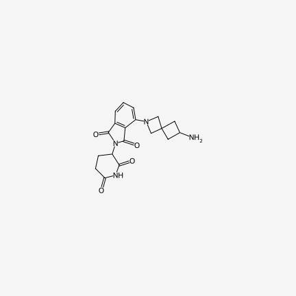 NC1CC2(C1)CN(c1cccc3c1C(=O)N(C1CCC(=O)NC1=O)C3=O)C2